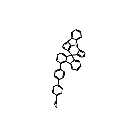 N#Cc1ccc(-c2ccc(-c3cccc4c3-c3ccccc3C43c4ccccc4-n4c5ccccc5c5cccc3c54)cc2)cc1